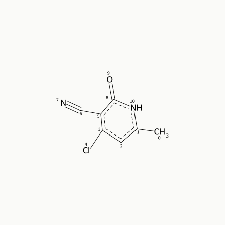 Cc1cc(Cl)c(C#N)c(=O)[nH]1